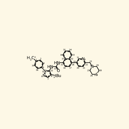 Cc1ccc(-n2ncc(C(C)(C)C)c2NC(=O)Nc2ccc(-c3ccc(CN4CCSCC4)nc3)c3ccccc23)cc1